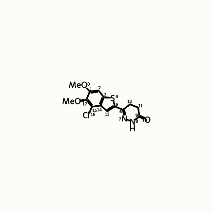 COc1cc2sc(C3=NNC(=O)CC3)cc2c(Cl)c1OC